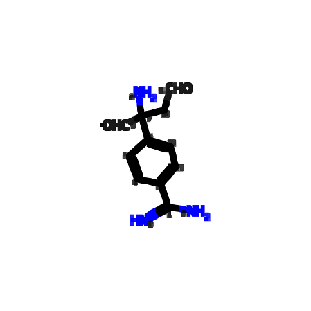 N=C(N)c1ccc(C(N)([C]=O)CC=O)cc1